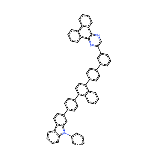 c1ccc(-n2c3ccccc3c3ccc(-c4ccc(-c5ccc(-c6ccc(-c7cccc(-c8cnc9c%10ccccc%10c%10ccccc%10c9n8)c7)cc6)c6ccccc56)cc4)cc32)cc1